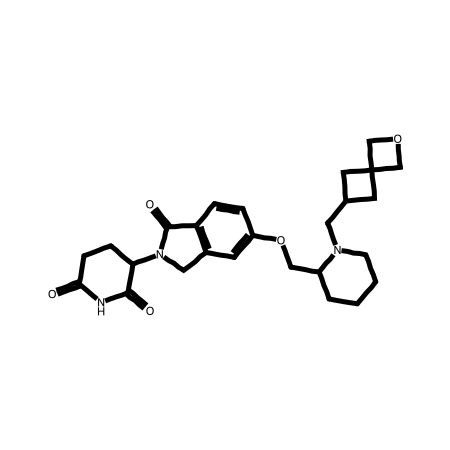 O=C1CCC(N2Cc3cc(OCC4CCCCN4CC4CC5(COC5)C4)ccc3C2=O)C(=O)N1